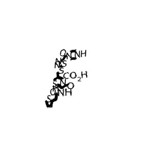 O=C(Cc1cccs1)NC1C(=O)N2C(C(=O)O)=C(CSc3nnc(C(=O)N4CCNCC4)s3)CS[C@@H]12